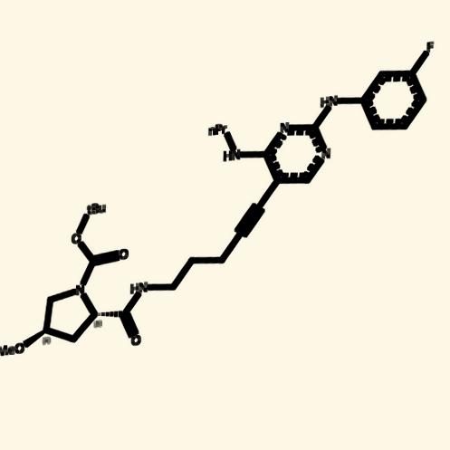 CCCNc1nc(Nc2cccc(F)c2)ncc1C#CCCCNC(=O)[C@@H]1C[C@@H](OC)CN1C(=O)OC(C)(C)C